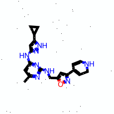 Cc1cc(Nc2cc(C3CC3)[nH]n2)nc(NCc2cc(C3=CCNC=C3)no2)n1